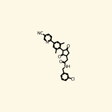 Cc1cc(-c2ccc(C#N)cn2)cc(C)c1C1C(=O)CC(CC(=O)NCc2cccc(Cl)c2)C1=O